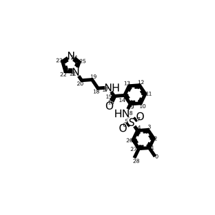 Cc1ccc(S(=O)(=O)Nc2ccccc2C(=O)NCCCn2ccnc2)cc1C